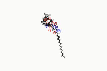 CCCCCCCCCCCCCCCC(=O)Nc1ccn([C@@H]2O[C@@H]3CO[Si](C(C)C)(C(C)C)O[Si](C(C)C)(C(C)C)O[C@H]3[C@]2(O)C#N)c(=O)n1